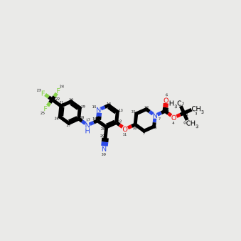 CC(C)(C)OC(=O)N1CCC(Oc2ccnc(Nc3ccc(C(F)(F)F)cc3)c2C#N)CC1